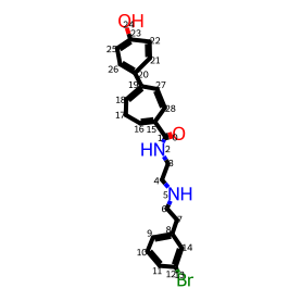 O=C(NCCNCCc1cccc(Br)c1)C1=CCC=C(c2ccc(O)cc2)C=C1